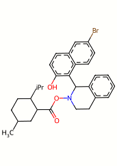 CC1CCC(C(C)C)C(C(=O)ON2CCc3ccccc3C2c2c(O)ccc3cc(Br)ccc23)C1